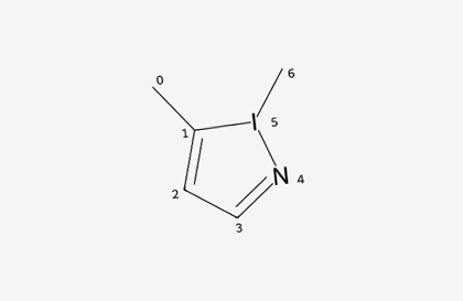 CC1=CC=NI1C